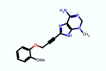 COc1ccccc1OCC#Cc1nc2c([nH]1)N(C)CN=C2N